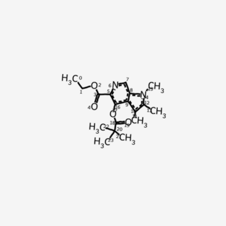 CCOC(=O)c1ncc2c(c(C)c(C)n2C)c1OC(=O)C(C)(C)C